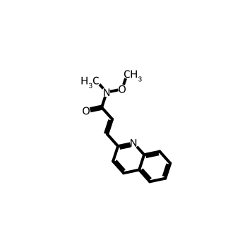 CON(C)C(=O)C=Cc1ccc2ccccc2n1